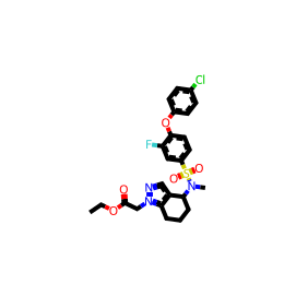 CCOC(=O)Cn1ncc2c1CCCC2N(C)S(=O)(=O)c1ccc(Oc2ccc(Cl)cc2)c(F)c1